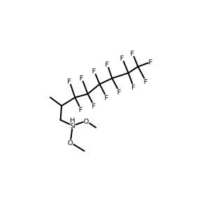 CO[SiH](CC(C)C(F)(F)C(F)(F)C(F)(F)C(F)(F)C(F)(F)C(F)(F)F)OC